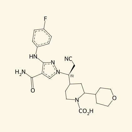 N#CC[C@@H](C1CCN(C(=O)O)C(C2CCOCC2)C1)n1cc(C(N)=O)c(Nc2ccc(F)cc2)n1